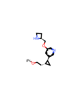 CC(C)OCC[C@H]1C[C@@H]1c1cncc(OC[C@@H]2CCN2)c1